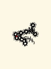 CC1(C)c2ccccc2-c2cc3c4ccccc4n(-c4cc(-c5ccc(-c6nc(-c7ccccc7)nc(-c7ccccc7)n6)cc5)ccc4-c4ccccc4)c3cc21